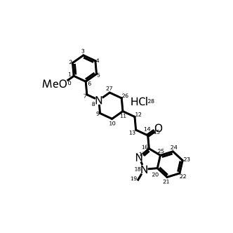 COc1ccccc1CN1CCC(CCC(=O)c2nn(C)c3ccccc23)CC1.Cl